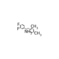 Cc1ccc(CC(N)c2ccc(F)c(F)c2)c(C)c1